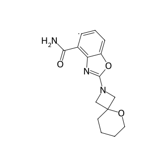 NC(=O)c1[c]ccc2oc(N3CC4(CCCCO4)C3)nc12